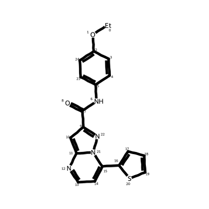 CCOc1ccc(NC(=O)c2cc3nccc(-c4cccs4)n3n2)cc1